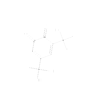 CCC(C)(C)C1=CC(=O)C(=O)C(C(C)(C)CC)=C1